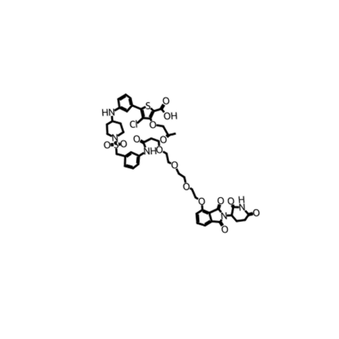 CC(=O)COc1c(C(=O)O)sc(-c2cccc(NC3CCN(S(=O)(=O)Cc4cccc(NC(=O)CCOCCOCCOCCOc5cccc6c5C(=O)N(C5CCC(=O)NC5=O)C6=O)c4)CC3)c2)c1Cl